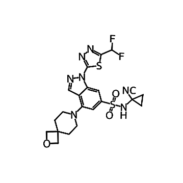 N#CC1(NS(=O)(=O)c2cc(N3CCC4(CC3)COC4)c3cnn(-c4nnc(C(F)F)s4)c3c2)CC1